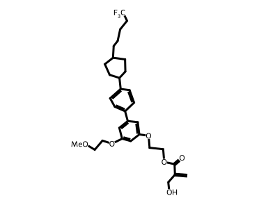 C=C(CO)C(=O)OCCOc1cc(OCCOC)cc(-c2ccc(C3CCC(CCCCC(F)(F)F)CC3)cc2)c1